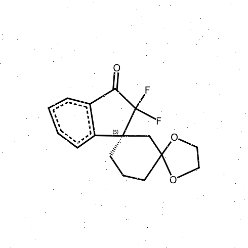 O=C1c2ccccc2[C@@]2(CCCC3(C2)OCCO3)C1(F)F